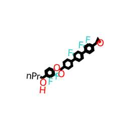 CCCC(O)c1ccc(OC(=O)C2CCC(C3=CC=C(c4ccc(C5CO5)c(F)c4F)CC3F)CC2)c(F)c1F